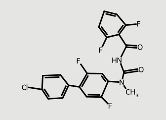 CN(C(=O)NC(=O)c1c(F)cccc1F)c1cc(F)c(-c2ccc(Cl)cc2)cc1F